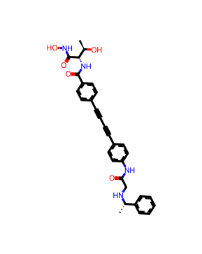 C[C@H](NCC(=O)Nc1ccc(C#CC#Cc2ccc(C(=O)N[C@H](C(=O)NO)[C@@H](C)O)cc2)cc1)c1ccccc1